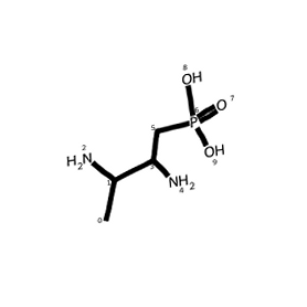 CC(N)C(N)CP(=O)(O)O